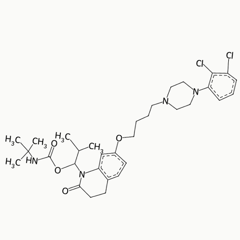 CC(C)C(OC(=O)NC(C)(C)C)N1C(=O)CCc2ccc(OCCCCN3CCN(c4cccc(Cl)c4Cl)CC3)cc21